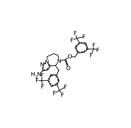 Nc1cc2n(n1)CCCN(C(=O)OCc1cc(C(F)(F)F)cc(C(F)(F)F)c1)C2Cc1cc(C(F)(F)F)cc(C(F)(F)F)c1